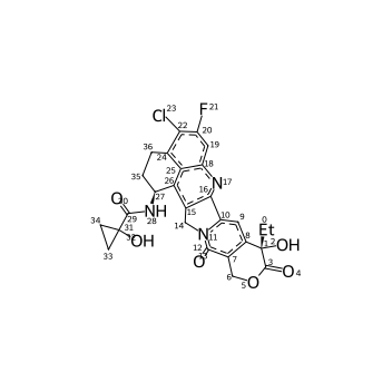 CC[C@@]1(O)C(=O)OCc2c1cc1n(c2=O)Cc2c-1nc1cc(F)c(Cl)c3c1c2[C@@H](NC(=O)C1(O)CC1)CC3